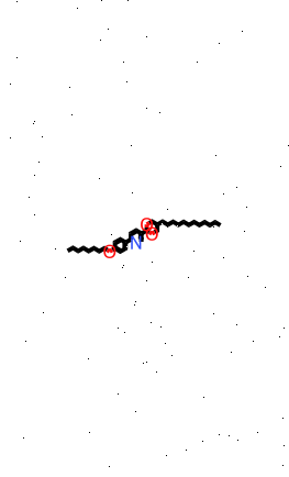 CCCCCCCCCCCCC1COC(c2ccc(-c3ccc(OCCCCCCCC)cc3)nc2)OC1